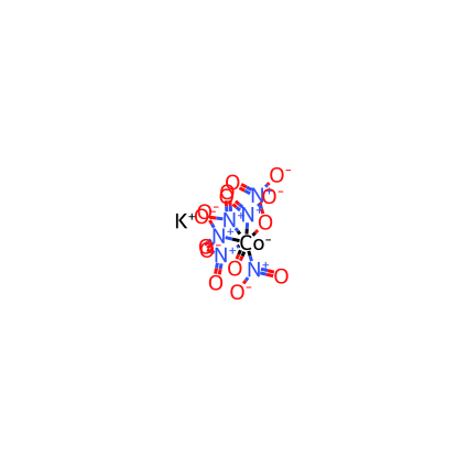 O=[N+]([O-])[O][Co-](=[O])([N+](=O)[O-])([N+](=O)[O-])([N+](=O)[O-])([N+](=O)[O-])[N+](=O)[O-].[K+]